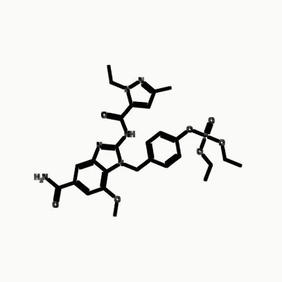 CCOP(=O)(OCC)Oc1ccc(Cn2c(NC(=O)c3cc(C)nn3CC)nc3cc(C(N)=O)cc(OC)c32)cc1